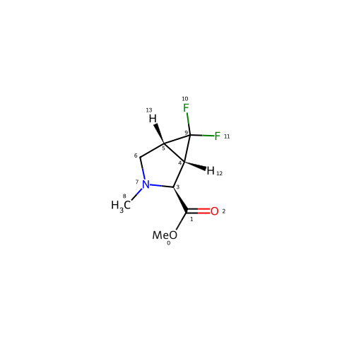 COC(=O)[C@@H]1[C@@H]2[C@H](CN1C)C2(F)F